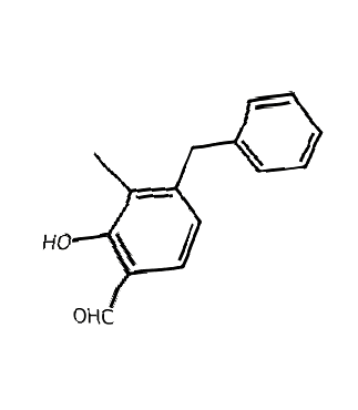 Cc1c(Cc2ccccc2)ccc(C=O)c1O